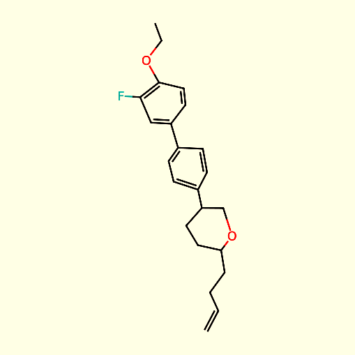 C=CCCC1CCC(c2ccc(-c3ccc(OCC)c(F)c3)cc2)CO1